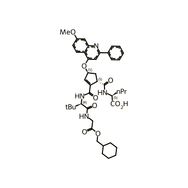 CCC[C@H](NC(=O)[C@H]1C[C@H](Oc2cc(-c3ccccc3)nc3cc(OC)ccc23)C=C1C(=O)N[C@@H](C(=O)NCC(=O)OCC1CCCCC1)C(C)(C)C)C(=O)O